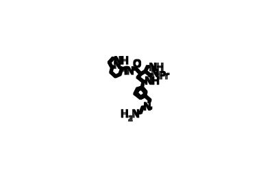 CC(C)N1NCC2C(C(=O)NCC3CCCC4CCNN43)CC(c3cccc(CN(C)CCN)c3)NC21